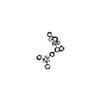 c1ccc(-c2nc(-c3ccccc3)nc(-c3ccc(-c4cc(-c5nc6c(ccc7c8ccccc8oc76)o5)c5ccccc5c4)cc3)n2)cc1